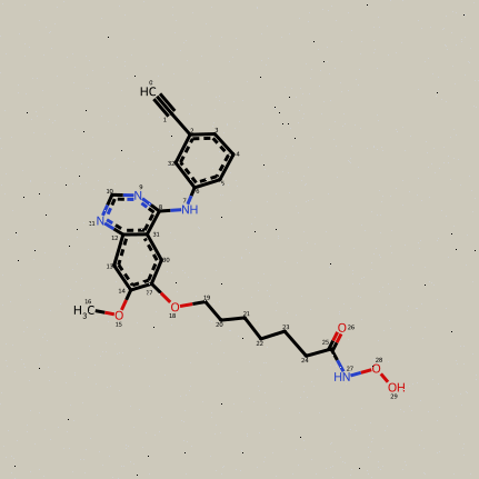 C#Cc1cccc(Nc2ncnc3cc(OC)c(OCCCCCCC(=O)NOO)cc23)c1